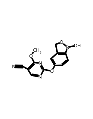 COc1nc(Oc2ccc3c(c2)COB3O)ncc1C#N